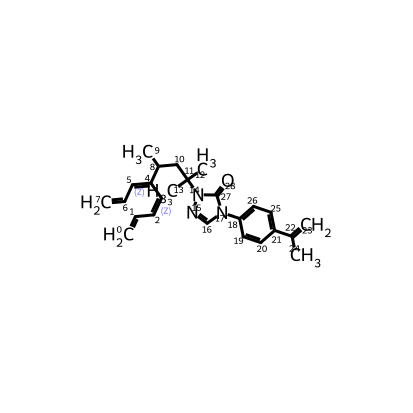 C=C/C=C\C(=C/C=C)C(C)CC(C)(C)n1ncn(-c2ccc(C(=C)C)cc2)c1=O